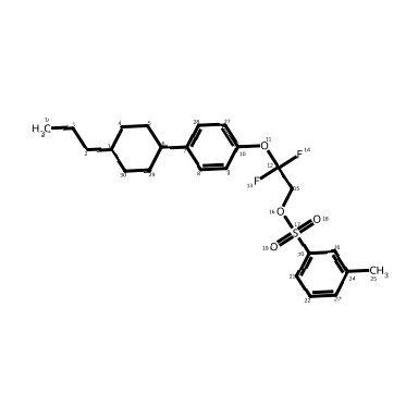 CCCC1CCC(c2ccc(OC(F)(F)COS(=O)(=O)c3cccc(C)c3)cc2)CC1